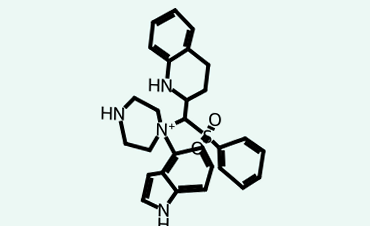 O=S(=O)(c1ccccc1)C(C1CCc2ccccc2N1)[N+]1(c2cccc3[nH]ccc23)CCNCC1